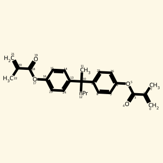 C=C(C)C(=O)Oc1ccc(C(C)(CCC)c2ccc(OC(=O)C(=C)C)cc2)cc1